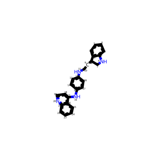 c1ccc2c(c1)NCC2CCNc1ccc(Nc2ccnc3ccccc23)cc1